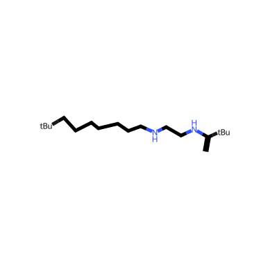 C=C(NCCNCCCCCCCC(C)(C)C)C(C)(C)C